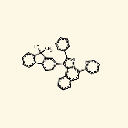 CC1(C)c2ccccc2-c2ccc(-c3c(-c4ccccc4)nn4c(-c5ccccn5)cc5ccccc5c34)cc21